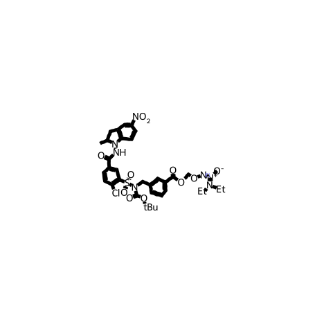 CCN(CC)/[N+]([O-])=N\OCOC(=O)c1cccc(CN(C(=O)OC(C)(C)C)S(=O)(=O)c2cc(C(=O)NN3c4ccc([N+](=O)[O-])cc4CC3C)ccc2Cl)c1